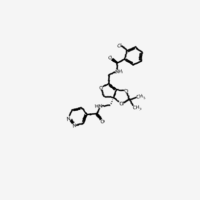 CC1(C)OC2=C(CNC(=O)c3ccccc3Cl)OC[C@]2(CNC(=O)c2ccnnc2)O1